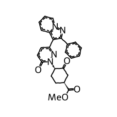 COC(=O)[C@H]1CC[C@@H](n2nc(-c3c(-c4ccccc4)nn4ccccc34)ccc2=O)C(=O)C1